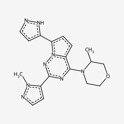 CC1COCCN1c1nc(-c2ccnn2C)nn2c(-c3ccn[nH]3)ccc12